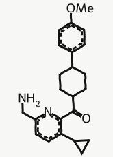 COc1ccc(C2CCC(C(=O)c3nc(CN)ccc3C3CC3)CC2)cc1